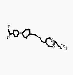 CCC[SiH]1CCC(CCCCC2CCC(c3ccc(/C(F)=C\F)cc3)CC2)CC1